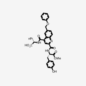 CCC[C@H](NC(=O)c1cc(C(=O)N[C@@H](Cc2ccc(O)cc2)C(=O)OC)nc2ccc(COc3ccccc3)cc12)C(=O)O